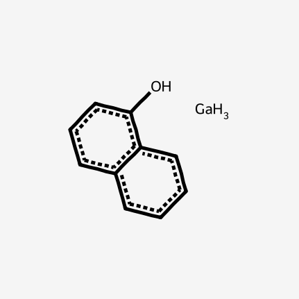 Oc1cccc2ccccc12.[GaH3]